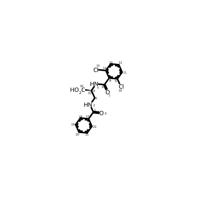 O=C(NC[C@H](NC(=O)c1c(Cl)cccc1Cl)C(=O)O)c1ccccc1